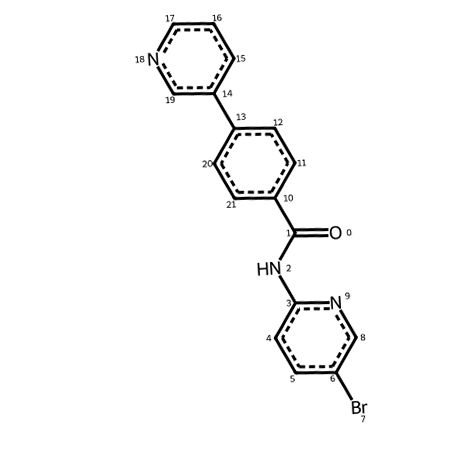 O=C(Nc1ccc(Br)cn1)c1ccc(-c2cccnc2)cc1